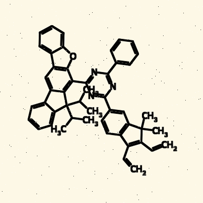 C=CC1=C(C=C)C(C)(C)c2cc(-c3nc(-c4ccccc4)nc(-c4c5c(cc6c4oc4ccccc46)-c4ccccc4C5(C(C)C)C(C)C)n3)ccc21